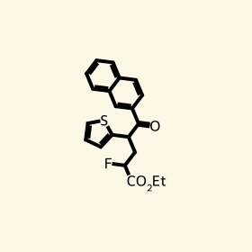 CCOC(=O)C(F)CC(C(=O)c1ccc2ccccc2c1)c1cccs1